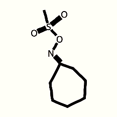 CS(=O)(=O)ON=C1CCCCCC1